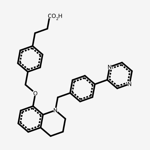 O=C(O)CCc1ccc(COc2cccc3c2N(Cc2ccc(-c4cnccn4)cc2)CCC3)cc1